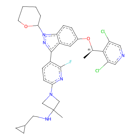 C[C@@H](Oc1ccc2c(c1)c(-c1ccc(N3CC(C)(NCC4CC4)C3)nc1F)nn2C1CCCCO1)c1c(Cl)cncc1Cl